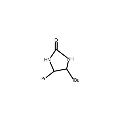 CCC(C)C1NC(=O)NC1C(C)C